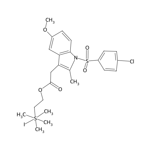 COc1ccc2c(c1)c(CC(=O)OCCS(C)(C)(C)(C)I)c(C)n2S(=O)(=O)c1ccc(Cl)cc1